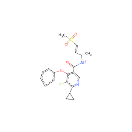 C[C@@H](/C=C/S(C)(=O)=O)NC(=O)c1cnc(C2CC2)c(F)c1Oc1ccccc1